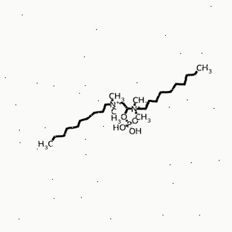 CCCCCCCCCC[N+](C)(C)CC(OP(=O)(O)O)[N+](C)(C)CCCCCCCCCC